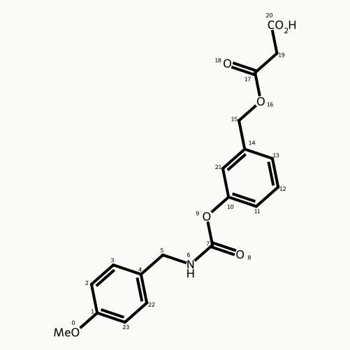 COc1ccc(CNC(=O)Oc2cccc(COC(=O)CC(=O)O)c2)cc1